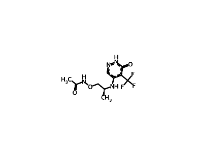 CC(=O)NOC[C@H](C)Nc1cn[nH]c(=O)c1C(F)(F)F